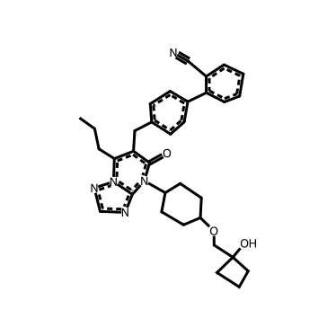 CCCc1c(Cc2ccc(-c3ccccc3C#N)cc2)c(=O)n(C2CCC(OCC3(O)CCC3)CC2)c2ncnn12